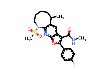 CNC(=O)c1c(-c2ccc(F)cc2)oc2nc3c(cc12)C(C)CCCCN3S(C)(=O)=O